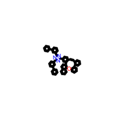 C1=C\c2ccc(-c3nc(-c4cccc(-c5ccccc5)c4)nc(-c4cccc(-c5ccccc5)c4)n3)cc2-c2ccc3ccccc3c2Oc2ccccc2-c2ccccc2/1